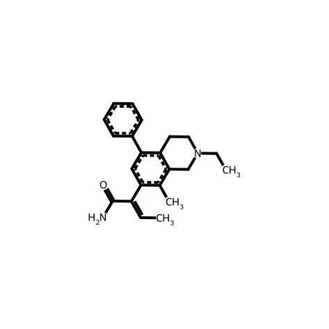 C/C=C(/C(N)=O)c1cc(-c2ccccc2)c2c(c1C)CN(CC)CC2